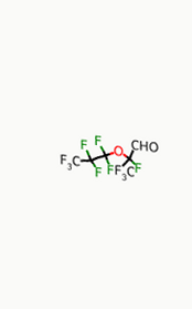 O=CC(F)(OC(F)(F)C(F)(F)C(F)(F)F)C(F)(F)F